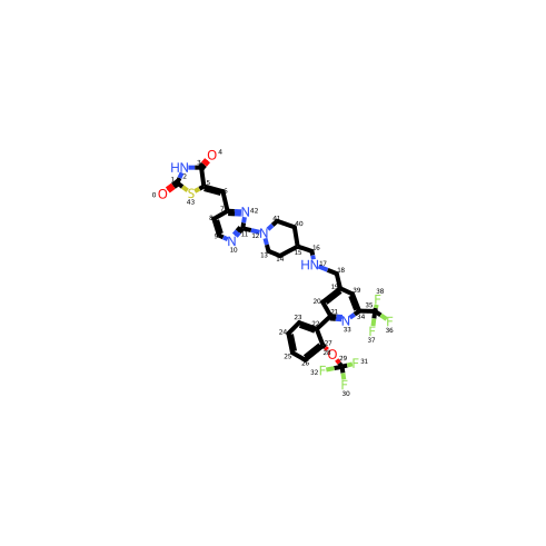 O=C1NC(=O)/C(=C/c2ccnc(N3CCC(CNCc4cc(-c5ccccc5OC(F)(F)F)nc(C(F)(F)F)c4)CC3)n2)S1